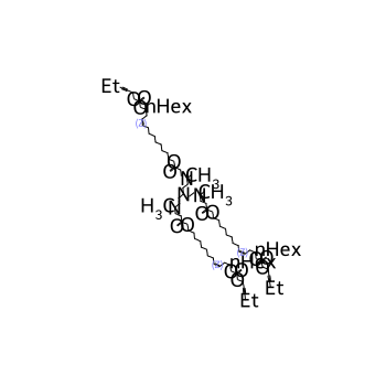 CCC#CCOC(=O)OC(C/C=C\CCCCCCCCOC(=O)CCN(C)CCN(CCN(C)CCC(=O)OCCCCCCCC/C=C\CC(CCCCCC)OC(=O)OCC#CCC)CCN(C)CCC(=O)OCCCCCCCC/C=C\CC(CCCCCC)OC(=O)OCC#CCC)CCCCCC